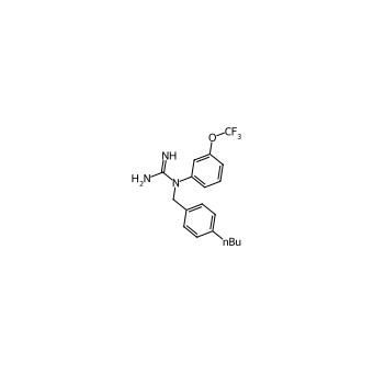 CCCCc1ccc(CN(C(=N)N)c2cccc(OC(F)(F)F)c2)cc1